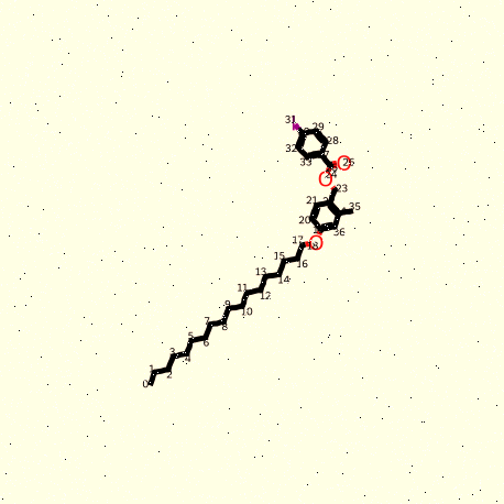 CCCCCCCCCCCCCCCCCCOc1ccc(COC(=O)c2ccc(I)cc2)c(C)c1